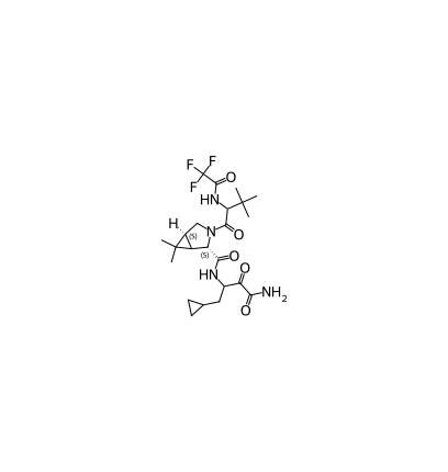 CC(C)(C)C(NC(=O)C(F)(F)F)C(=O)N1C[C@H]2C([C@H]1C(=O)NC(CC1CC1)C(=O)C(N)=O)C2(C)C